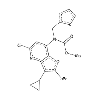 CCCc1oc2c(N(Cc3cccs3)C(=O)OC(C)(C)C)cc(Cl)nc2c1C1CC1